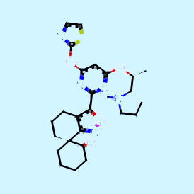 C[C@H](Oc1cc(Oc2nccs2)nc(-c2onc3c2CCC[C@@]32CCCCC2=O)n1)[C@@H]1CCCN1C